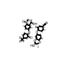 C[C@@H](Oc1ccc(Oc2ccc(C#N)cc2F)cc1)C(=O)O.O=C(O)c1cc(Oc2ccc(C(F)(F)F)cc2Cl)ccc1[N+](=O)[O-]